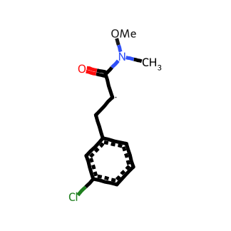 CON(C)C(=O)[CH]Cc1cccc(Cl)c1